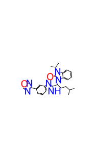 CC(C)CCC(c1nc2cc(-c3ncon3)ccc2[nH]1)n1c(=O)n(C(C)C)c2ccccc21